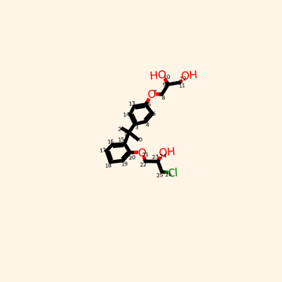 CC(C)(c1ccc(OCC(O)CO)cc1)c1ccccc1OCC(O)CCl